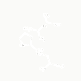 CCC(C)C(N)C(=O)O.NC(CS)C(=O)O.NCC(=O)O.O=C(O)C1CCCN1